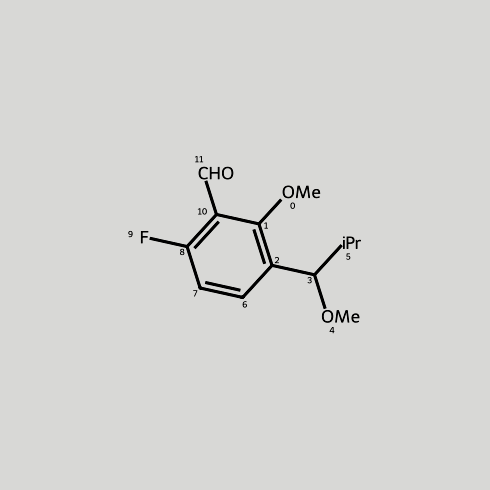 COc1c(C(OC)C(C)C)ccc(F)c1C=O